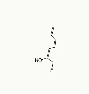 C=C/C=C\C=C(\O)CF